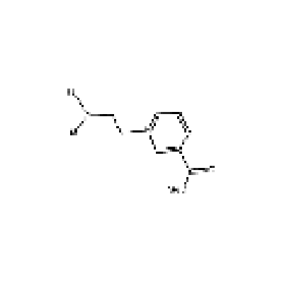 CCN(CC)CC[n+]1cccc(C(=O)OC)c1